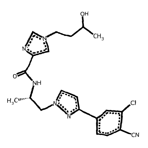 CC(O)CCn1cnc(C(=O)N[C@@H](C)Cn2ccc(-c3ccc(C#N)c(Cl)c3)n2)c1